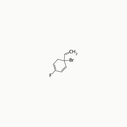 C=CC1(Br)C=CC(F)=CC1